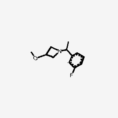 COC1CN(C(C)c2[c]c(F)ccc2)C1